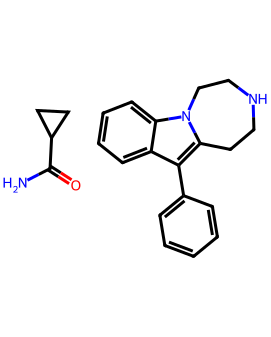 NC(=O)C1CC1.c1ccc(-c2c3n(c4ccccc24)CCNCC3)cc1